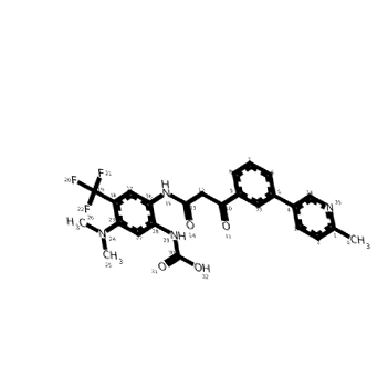 Cc1ccc(-c2cccc(C(=O)CC(=O)Nc3cc(C(F)(F)F)c(N(C)C)cc3NC(=O)O)c2)cn1